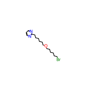 BrCCCCCCOCCCCCCc1ncccn1